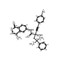 CC(=O)c1ccc(C#CC(O)(CC(C)(C)c2ccccc2)C(=O)Nc2ccc3c(=O)onc(C)c3c2)cc1